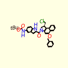 CC(C)(C)OC(=O)Nc1ccc2[nH]c(C(=O)N3C[C@@H](CCl)c4c3cc(OCc3ccccc3)c3ccccc43)cc2c1